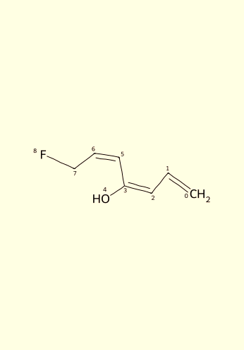 C=C/C=C(O)\C=C/CF